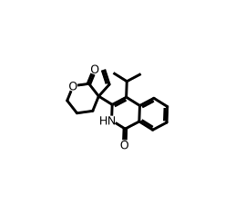 C=CC1(c2[nH]c(=O)c3ccccc3c2C(C)C)CCCOC1=O